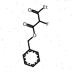 CCC(=O)C(F)C(=O)OCc1ccccc1